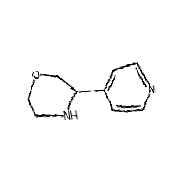 c1cc(C2COCCN2)ccn1